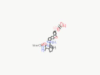 COC(=O)N[C@@H]1C(=O)N2C(c3nc4ccc5cc6c(cc5c4[nH]3)OCc3cc(BOC(C)(C)C(C)(C)O)ccc3-6)C[C@@H]3CCC(C1C)[C@@H]32